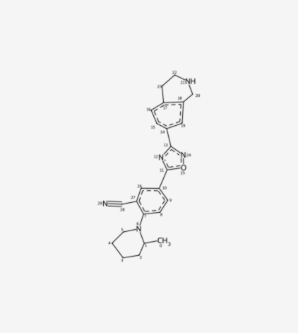 CC1CCCCN1c1ccc(-c2nc(-c3ccc4c(c3)CNCC4)no2)cc1C#N